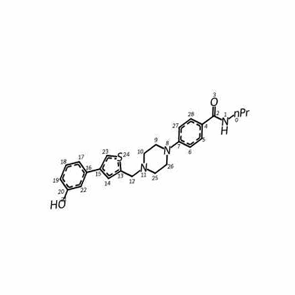 CCCNC(=O)c1ccc(N2CCN(Cc3cc(-c4cccc(O)c4)cs3)CC2)cc1